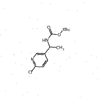 CC(NC(=O)OC(C)(C)C)c1ccc(Cl)nc1